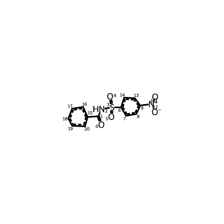 O=C(NS(=O)(=O)c1ccc([N+](=O)[O-])cc1)c1ccccc1